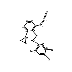 Cc1cc(C)c(OCc2c(N=C=O)cccc2C2CC2)cc1C